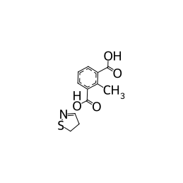 C1=NSCC1.Cc1c(C(=O)O)cccc1C(=O)O